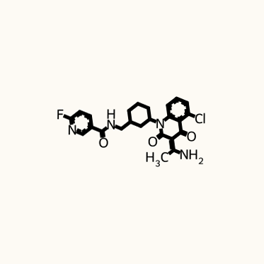 CC(N)=C1C(=O)c2c(Cl)cccc2N(C2CCCC(CNC(=O)c3ccc(F)nc3)C2)C1=O